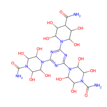 NC(=O)C1C(O)C(O)N(c2nc(N3C(O)C(O)N(C(N)=O)C(O)C3O)nc(N3C(O)C(O)N(C(N)=O)C(O)C3O)n2)C(O)C1O